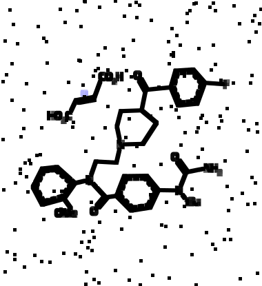 COc1ccccc1N(CCN1CCC(C(=O)c2ccc(F)cc2)CC1)C(=O)c1ccc(N(C(N)=O)C(C)(C)C)cc1.O=C(O)/C=C/C(=O)O